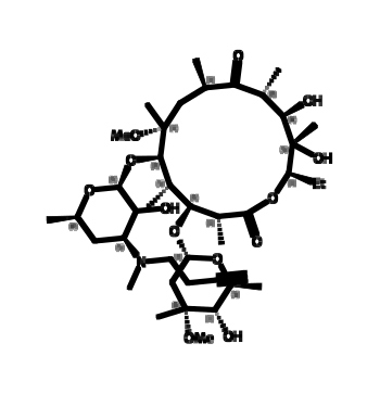 C#CCCN(C)[C@H]1C[C@@H](C)O[C@@H](O[C@@H]2[C@@H](C)[C@H](O[C@H]3C[C@@](C)(OC)[C@@H](O)[C@H](C)O3)[C@@H](C)C(=O)O[C@H](CC)[C@@](C)(O)[C@H](O)[C@@H](C)C(=O)[C@H](C)C[C@@]2(C)OC)C1O